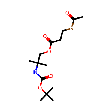 CC(=O)SCCC(=O)OCC(C)(C)NC(=O)OC(C)(C)C